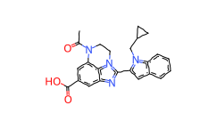 CC(=O)N1CCn2c(-c3cc4ccccc4n3CC3CC3)nc3cc(C(=O)O)cc1c32